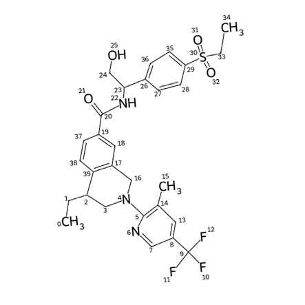 CCC1CN(c2ncc(C(F)(F)F)cc2C)Cc2cc(C(=O)NC(CO)c3ccc(S(=O)(=O)CC)cc3)ccc21